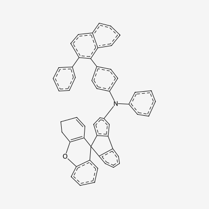 C1=CC2=C(CC1)Oc1ccccc1C21c2ccccc2-c2cc(N(c3ccccc3)c3ccc(-c4c(-c5ccccc5)ccc5ccccc45)cc3)ccc21